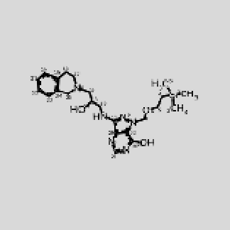 C[Si](C)(C)CCOCn1nc(NCC(O)CN2CCc3ccccc3C2)c2ncnc(O)c21